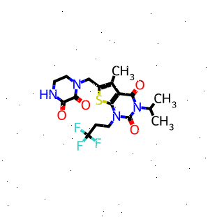 Cc1c(CN2CCNC(=O)C2=O)sc2c1c(=O)n(C(C)C)c(=O)n2CCC(F)(F)F